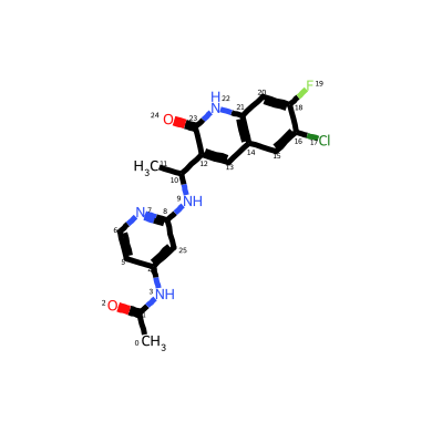 CC(=O)Nc1ccnc(NC(C)c2cc3cc(Cl)c(F)cc3[nH]c2=O)c1